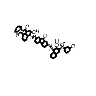 CON(c1cccc(Cl)c1)c1cc2ccccc2c(N=Nc2ccc3c(c2)C(=O)c2cc(N=Nc4c(O)cc5c(=O)n6c7ccccc7nc6c6cccc4c56)ccc2-3)c1O